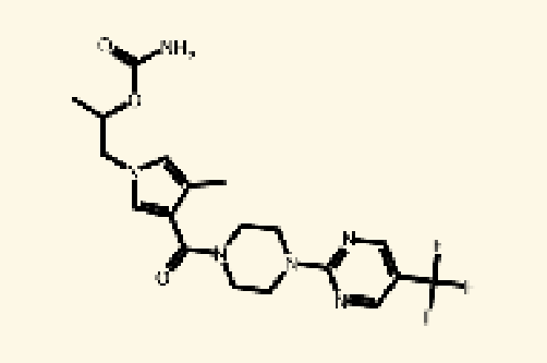 Cc1cn(CC(C)OC(N)=O)cc1C(=O)N1CCN(c2ncc(C(F)(F)F)cn2)CC1